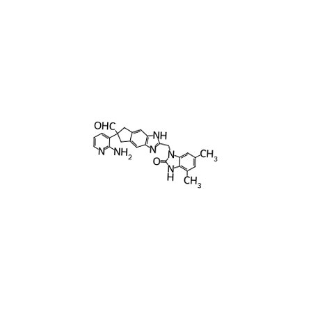 Cc1cc(C)c2[nH]c(=O)n(Cc3nc4cc5c(cc4[nH]3)CC(C=O)(c3cccnc3N)C5)c2c1